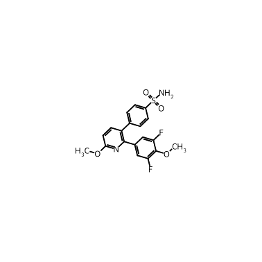 COc1ccc(-c2ccc(S(N)(=O)=O)cc2)c(-c2cc(F)c(OC)c(F)c2)n1